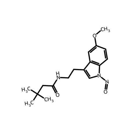 COc1ccc2c(c1)c(CCNC(=O)CC(C)(C)C)cn2N=O